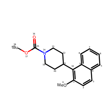 COc1ccc2ccccc2c1C1CCN(C(=O)OC(C)(C)C)CC1